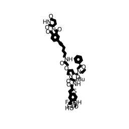 CC(C)(C)[C@H](NC(=O)c1cc2cc(C(F)(F)P(=O)(O)O)ccc2s1)C(=O)N1C[C@@H](OCC(=O)NCCCCC#Cc2ccc3c(c2)C(=O)N(C2CCC(=O)NC2=O)C3=O)C[C@H]1C(=O)N1CCO[C@H](c2ccccc2)C1